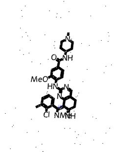 CN/C(=C1\C(=N)CCc2cnc(Nc3ccc(C(=O)NC4CCN(C)CC4)cc3OC)nc21)c1cccc(C)c1Cl